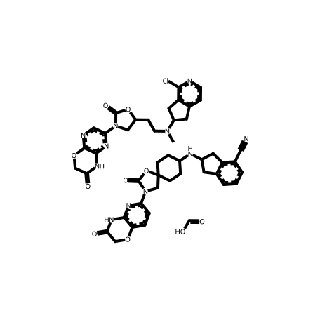 CN(CCC1CN(c2cnc3c(n2)NC(=O)CO3)C(=O)O1)C1Cc2ccnc(Cl)c2C1.N#Cc1cccc2c1CC(NC1CCC3(CC1)CN(c1ccc4c(n1)NC(=O)CO4)C(=O)O3)C2.O=CO